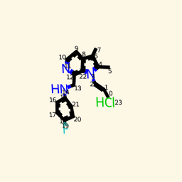 CC=Cn1c(C)c(C)c2ccnc(CNc3ccc(F)cc3)c21.Cl